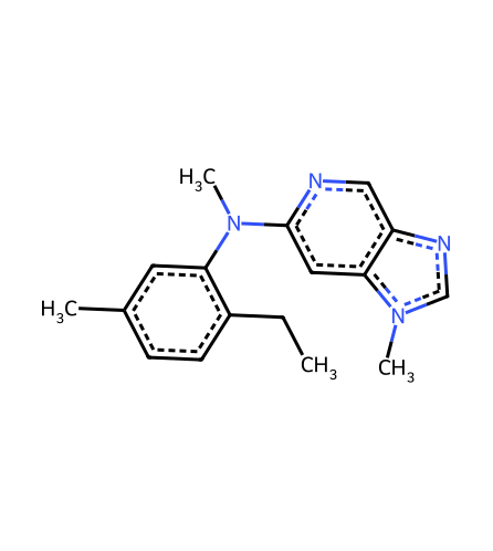 CCc1ccc(C)cc1N(C)c1cc2c(cn1)ncn2C